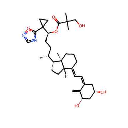 C=C1/C(=C\C=C2/CCC[C@]3(C)[C@@H]([C@H](C)CC[C@H](OC(=O)C(C)(C)CO)C4(c5ncno5)CC4)CC[C@@H]23)C[C@@H](O)C[C@@H]1O